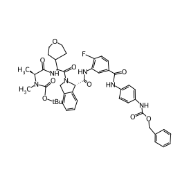 C[C@@H](C(=O)N[C@H](C(=O)N1Cc2ccccc2[C@H]1C(=O)Nc1cc(C(=O)Nc2ccc(NC(=O)OCc3ccccc3)cc2)ccc1F)C1CCOCC1)N(C)C(=O)OC(C)(C)C